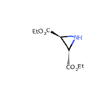 CCOC(=O)[C@H]1N[C@@H]1C(=O)OCC